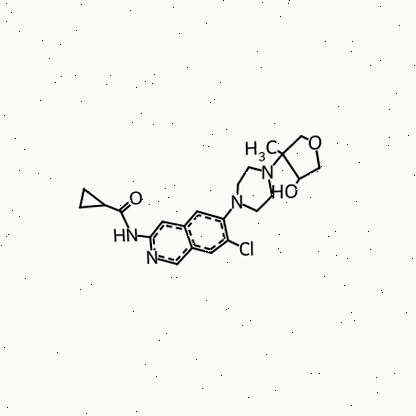 CC1(N2CCN(c3cc4cc(NC(=O)C5CC5)ncc4cc3Cl)CC2)COCC1O